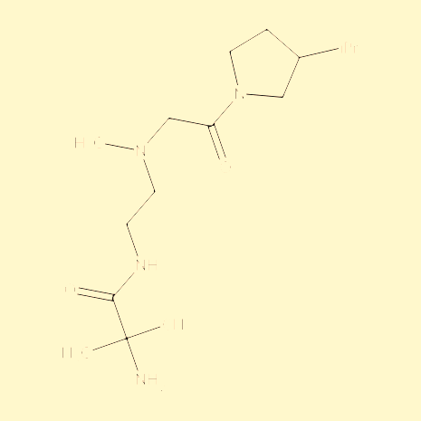 CC(C)C1CCN(C(=O)CN(C)CCNC(=O)C(C)(C)N)C1